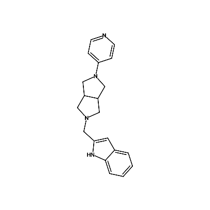 c1ccc2[nH]c(CN3CC4CN(c5ccncc5)CC4C3)cc2c1